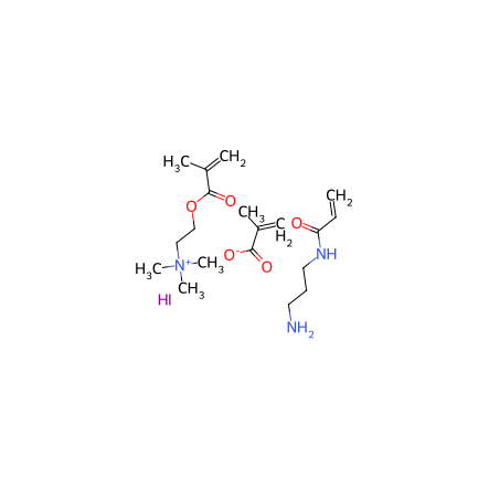 C=C(C)C(=O)OCC[N+](C)(C)C.C=C(C)C(=O)[O-].C=CC(=O)NCCCN.I